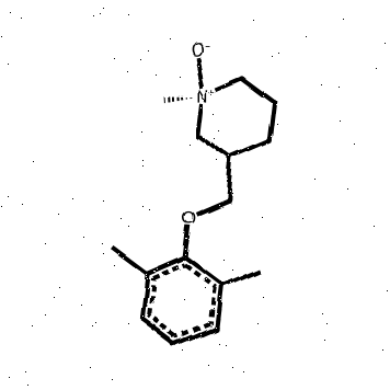 Cc1cccc(C)c1OCC1CCC[N@+](C)([O-])C1